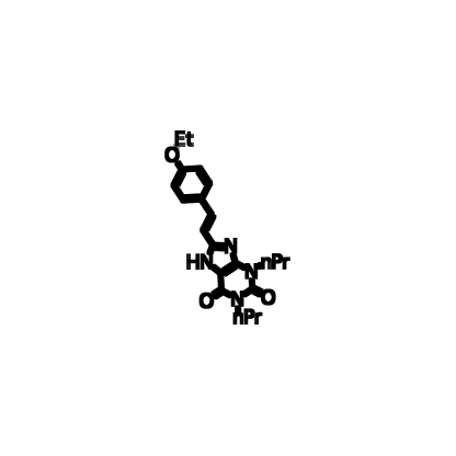 CCCn1c(=O)c2[nH]c(C=Cc3ccc(OCC)cc3)nc2n(CCC)c1=O